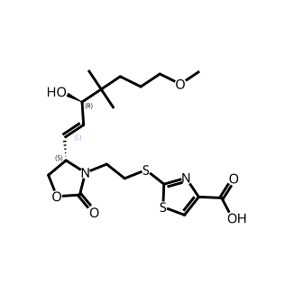 COCCCC(C)(C)[C@H](O)/C=C/[C@H]1COC(=O)N1CCSc1nc(C(=O)O)cs1